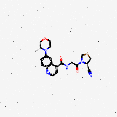 C[C@@H]1COCCN1c1ccc2nccc(C(=O)NCC(=O)N3CSC[C@H]3C#N)c2c1